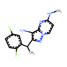 CNc1ccn2nc(C(C)c3cc(F)ccc3F)c(N)c2n1